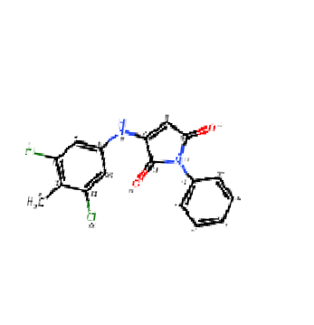 Cc1c(Cl)cc(NC2=CC(=O)N(c3ccccc3)C2=O)cc1Cl